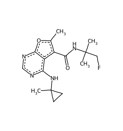 Cc1oc2ncnc(NC3(C)CC3)c2c1C(=O)NC(C)(C)CF